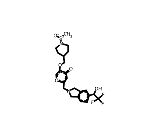 C[S+]([O-])N1CCC(COc2coc(CN3Cc4ccc(C(O)C(F)(F)F)cc4C3)cc2=O)CC1